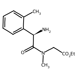 CCOC(=O)CN(C)C(=O)[C@H](N)c1ccccc1C